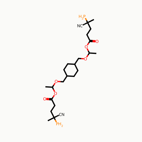 CC(OCC1CCC(COC(C)OC(=O)CCC(C)(P)C#N)CC1)OC(=O)CCC(C)(P)C#N